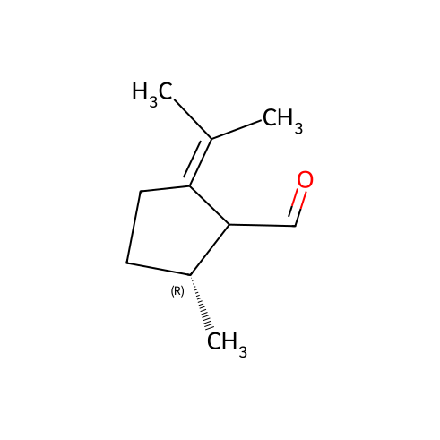 CC(C)=C1CC[C@@H](C)C1C=O